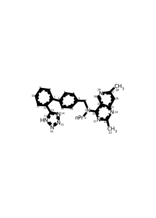 CCCN(Cc1ccc(-c2ccccc2-c2nnn[nH]2)cc1)c1nc(C)nc2cc(C)ncc12